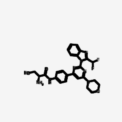 N[C@@H](CO)C(=O)Nc1ccc(-c2cc(N3CCOCC3)nc(-n3c(C(F)F)nc4ccccc43)n2)cc1